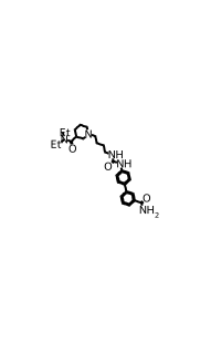 CCN(CC)C(=O)C1CCCN(CCCCNC(=O)Nc2ccc(-c3cccc(C(N)=O)c3)cc2)C1